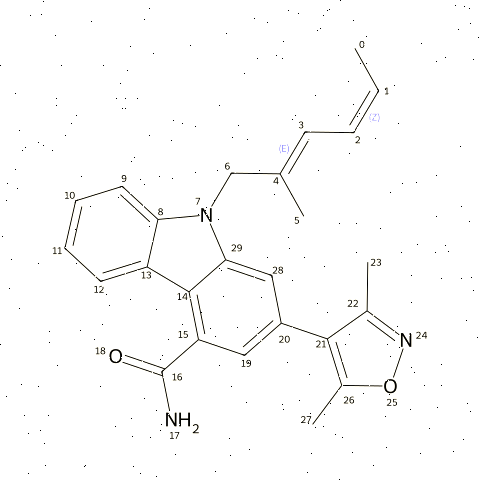 C/C=C\C=C(/C)Cn1c2ccccc2c2c(C(N)=O)cc(-c3c(C)noc3C)cc21